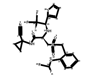 N#CC1(NC(=O)[C@H](CS(=O)(=O)Cc2ccccc2OC(F)F)N[C@H](c2cccs2)C(F)(F)F)CC1